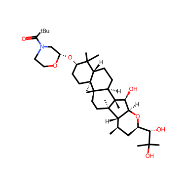 C[C@@H]1C[C@H]([C@H](O)C(C)(C)O)O[C@H]2[C@H]1[C@@]1(C)CC[C@@]34C[C@@]35CC[C@H](O[C@H]3CN(C(=O)C(C)(C)C)CCO3)C(C)(C)[C@@H]5CC[C@H]4[C@]1(C)[C@H]2O